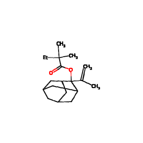 C=C(C)C1(OC(=O)C(C)(C)CC)C2CC3CC(C2)CC1C3